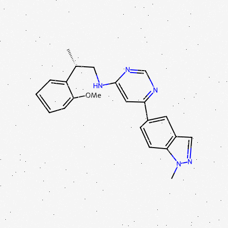 COc1ccccc1[C@H](C)CNc1cc(-c2ccc3c(cnn3C)c2)ncn1